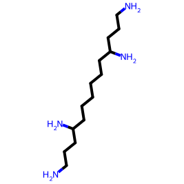 NCCCC(N)CCCCCCC(N)CCCN